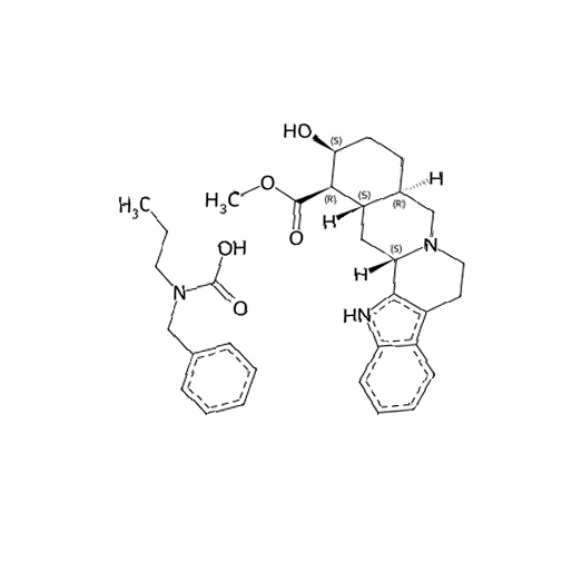 CCCN(Cc1ccccc1)C(=O)O.COC(=O)[C@@H]1[C@H]2C[C@H]3c4[nH]c5ccccc5c4CCN3C[C@@H]2CC[C@@H]1O